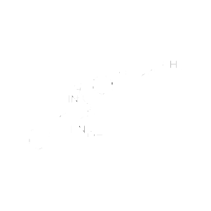 CC#CCOc1ccc(S(=O)(=O)N[C@H](CCc2ccccc2)C(=O)NO)cc1